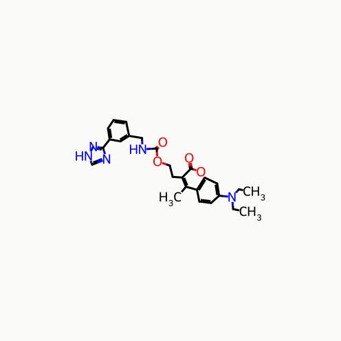 CCN(CC)c1ccc2c(C)c(CCOC(=O)NCc3cccc(-c4nc[nH]n4)c3)c(=O)oc2c1